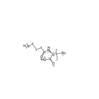 CC(C)(S)[C@H](NC(=O)CCCN)C(=O)O